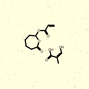 C=CC(=O)OC1CCCCC(=O)O1.CC(=CO)C(=O)O